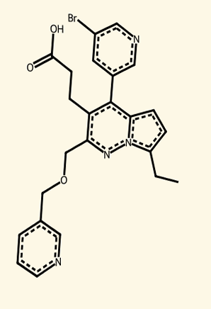 CCc1ccc2c(-c3cncc(Br)c3)c(CCC(=O)O)c(COCc3cccnc3)nn12